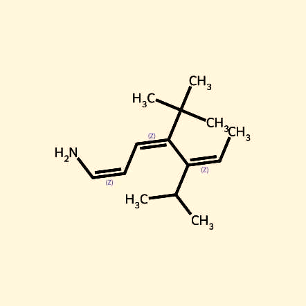 C\C=C(/C(=C\C=C/N)C(C)(C)C)C(C)C